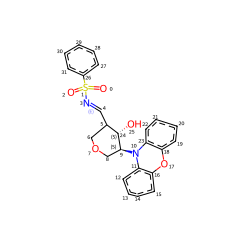 O=S(=O)(/N=C/C1COC[C@H](N2c3ccccc3Oc3ccccc32)[C@H]1O)c1ccccc1